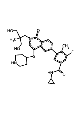 Cc1c(F)cc(C(=O)NC2CC2)cc1-c1ccc2c(=O)n(CC(C)(CO)CO)cc(SC3CCNCC3)c2c1